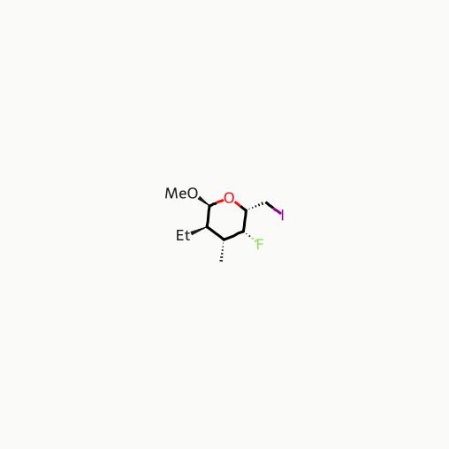 CC[C@H]1[C@@H](OC)O[C@H](CI)[C@H](F)[C@@H]1C